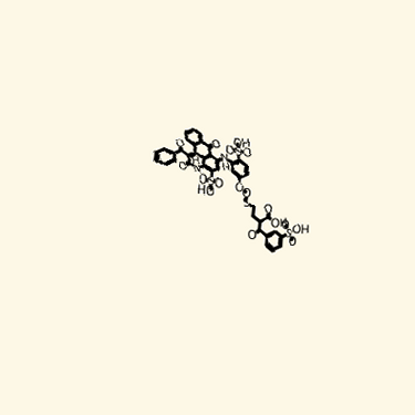 O=C(c1ccccc1)c1c2c3c(c(Nc4cc(OOSCCC(C(=O)O)C(=O)c5cccc(S(=O)(=O)O)c5)ccc4S(=O)(=O)O)cc(S(=O)(=O)O)c3[nH]c1=O)C(=O)c1ccccc1-2